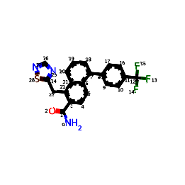 NC(=O)c1ccc2c(-c3ccc(C(F)(F)F)cc3)cccc2c1Cc1ncns1